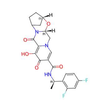 C[C@@H](NC(=O)c1cn2c(c(O)c1=O)C(=O)N1C3CC[C@@H](C3)O[C@@H]1C2)c1ccc(F)cc1F